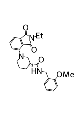 CCN1C(=O)c2cccc(N3CCC[C@@H](C(=O)NCc4ccccc4OC)C3)c2C1=O